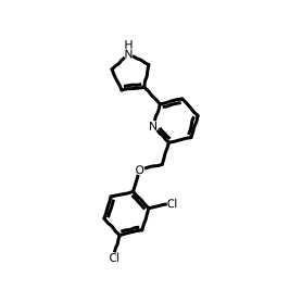 Clc1ccc(OCc2cccc(C3=CCNC3)n2)c(Cl)c1